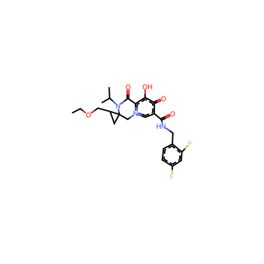 CCOCC1CC12Cn1cc(C(=O)NCc3ccc(F)cc3F)c(=O)c(O)c1C(=O)N2C(C)C